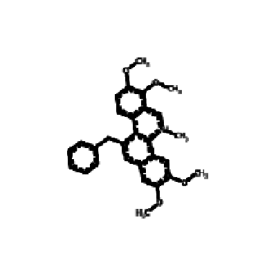 COc1cc2cc(Cc3ccccc3)c3c4ccc(OC)c(OC)c4c[n+](C)c3c2cc1OC